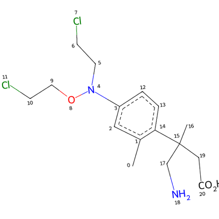 Cc1cc(N(CCCl)OCCCl)ccc1C(C)(CN)CC(=O)O